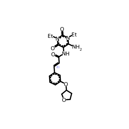 CCn1c(N)c(NC(=O)/C=C/c2cccc(OC3CCOC3)c2)c(=O)n(CC)c1=O